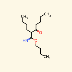 CCCCOC(=N)C(CCCC)C(=O)CCCC